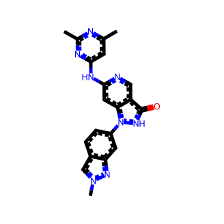 Cc1cc(Nc2cc3c(cn2)c(=O)[nH]n3-c2ccc3cn(C)nc3c2)nc(C)n1